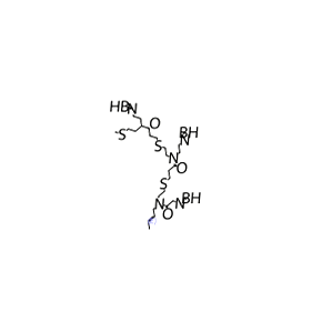 B=NCCC(CCSC)C(=O)CCSCCN(CCN=B)C(=O)CCSCCN(C/C=C/C)C(=O)CN=B